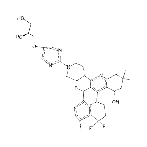 Cc1ccc(C(F)c2c(C3CCN(c4ncc(OC[C@@H](O)CO)cn4)CC3)nc3c(c2C2CCC(F)(F)CC2)C(O)CC(C)(C)C3)cc1